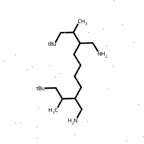 CC(CC(C)(C)C)C(CN)CCCCC(CN)C(C)CC(C)(C)C